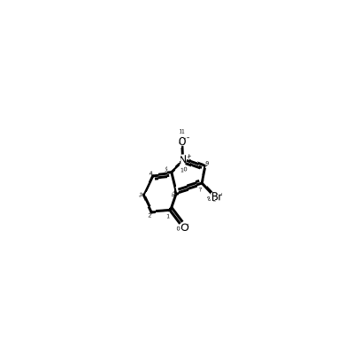 O=C1CCC=C2C1=C(Br)C=[N+]2[O-]